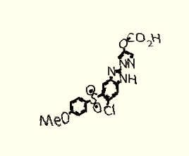 COc1ccc(S(=O)(=O)c2cc3nc(-n4cc(OC(=O)O)cn4)[nH]c3cc2Cl)cc1